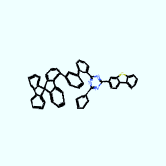 c1ccc(-c2nc(-c3ccc4c(c3)sc3ccccc34)nc(-c3ccccc3-c3cccc(-c4cccc5c4-c4ccccc4C54c5ccccc5-c5ccccc54)c3)n2)cc1